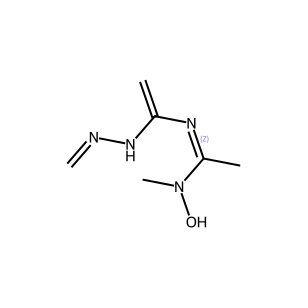 C=NNC(=C)/N=C(/C)N(C)O